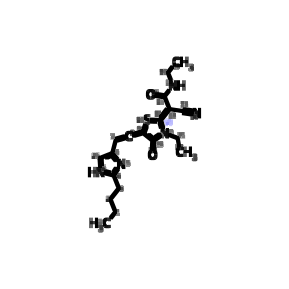 CCCCc1nc(C=C=c2s/c(=C(/C#N)C(=O)NCC)n(CC)c2=O)c[nH]1